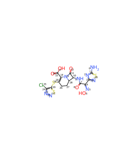 Nc1nc(/C(=N/O)C(=O)NC2C(=O)N3C(C(=O)O)=C(Sc4snnc4Cl)CCC23)ns1